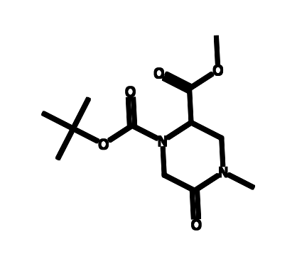 COC(=O)C1CN(C)C(=O)CN1C(=O)OC(C)(C)C